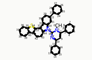 CN1C(c2ccccc2)=CC(c2ccccc2)=NC1n1c2cc(-c3ccccc3)ccc2c2c3sc4ccccc4c3ccc21